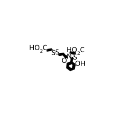 O=C(O)CCSSCCC(=O)N1C(c2ccccc2O)SC[C@H]1C(=O)O